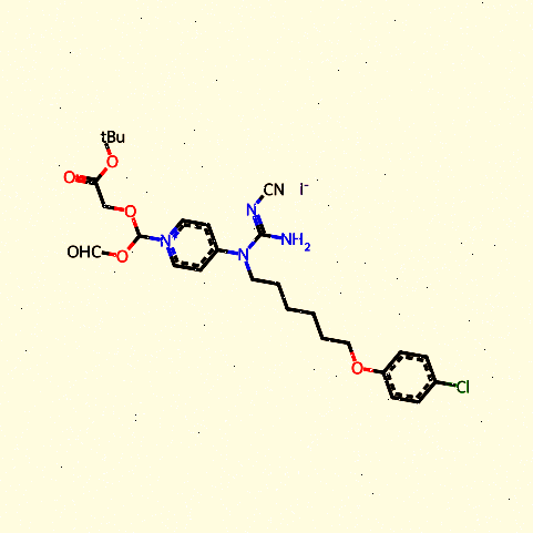 CC(C)(C)OC(=O)COC(OC=O)[n+]1ccc(N(CCCCCCOc2ccc(Cl)cc2)C(N)=NC#N)cc1.[I-]